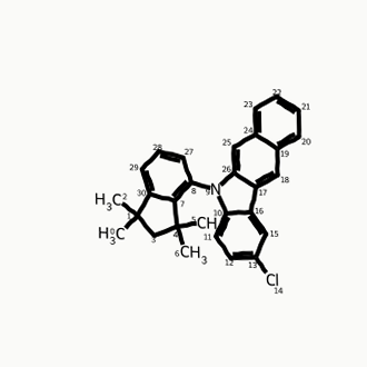 CC1(C)CC(C)(C)c2c(-n3c4ccc(Cl)cc4c4cc5ccccc5cc43)cccc21